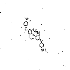 CC(C)(c1ccc(Oc2ccc(N)cc2)cc1)c1ccc(Oc2ccc(N)cc2)cc1.CCC